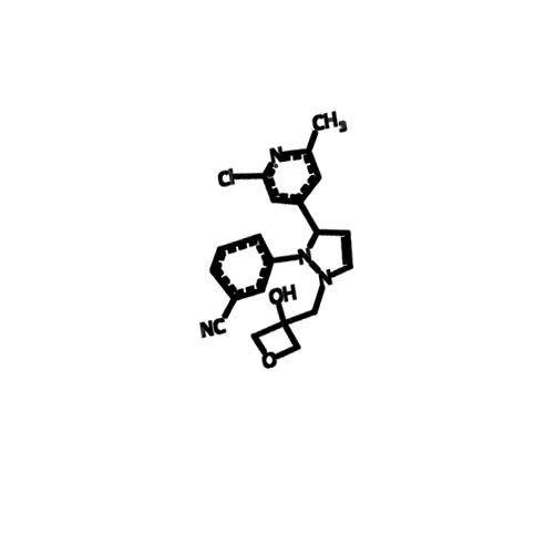 Cc1cc(C2C=CN(CC3(O)COC3)N2c2cccc(C#N)c2)cc(Cl)n1